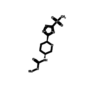 CC(C)(C)OC(=O)N[C@@H]1CC[C@@H](c2nnc(S(C)(=O)=O)o2)OC1